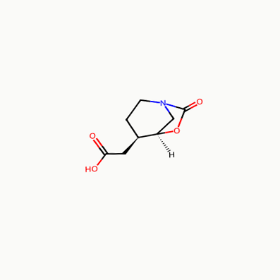 O=C(O)C[C@H]1CCN2C[C@H]1OC2=O